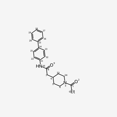 CCC(=O)N1CCC(CC(=O)Nc2ccc(-c3ccccc3)cc2)CC1